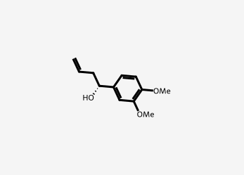 C=CC[C@@H](O)c1ccc(OC)c(OC)c1